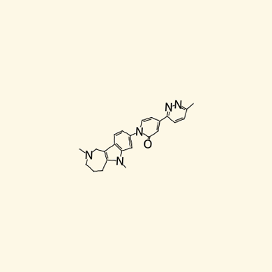 Cc1ccc(-c2ccn(-c3ccc4c5c(n(C)c4c3)CCCN(C)C5)c(=O)c2)nn1